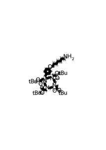 CC(C)(C)OC(=O)CN1CCN(CC(=O)OC(C)(C)C)CCN(CC(=O)OC(C)(C)C)[C@@H](Cc2ccc(OCCCCCCCN)cc2)CN(CC(=O)OC(C)(C)C)CC1